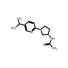 CC(=O)N[C@@H]1CCN(c2ccc(C(C)C)cn2)C1